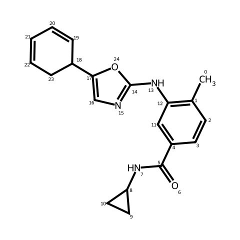 Cc1ccc(C(=O)NC2CC2)cc1Nc1ncc(C2C=CC=CC2)o1